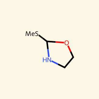 [CH2]SC1NCCO1